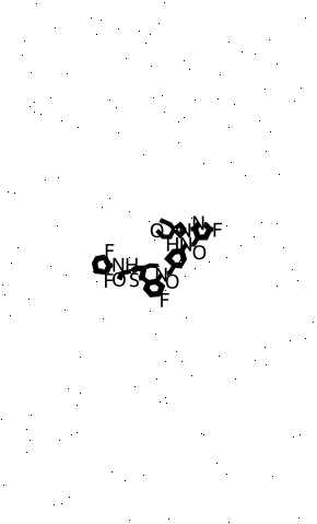 O=C(Nc1c(F)cccc1F)c1cc2c(s1)-c1ccc(F)cc1N(C(=O)c1ccc(NC(=O)c3cc(F)cnc3N3CC4(CCOCC4)C3)cc1)CC2